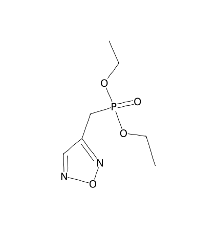 CCOP(=O)(Cc1cnon1)OCC